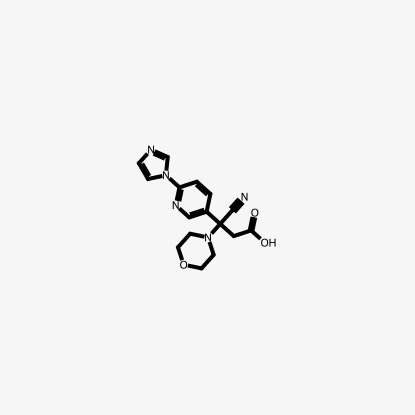 N#CC(CC(=O)O)(c1ccc(-n2ccnc2)nc1)N1CCOCC1